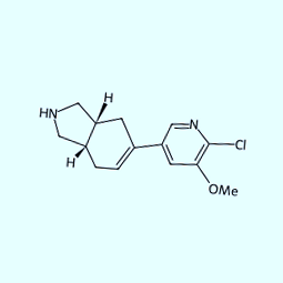 COc1cc(C2=CC[C@@H]3CNC[C@@H]3C2)cnc1Cl